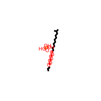 CC=COOOOOOOCCCCCCCCCC(C)C.O=P(O)(O)O